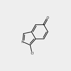 O=C1C=CC2=C(Cl)N=CC2=C1